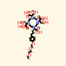 CCOCCOCCOc1ccc(CCC[C@@H](C(=O)O)N2CCN(C(CO)C(=O)O)CCN(C(CO)C(=O)O)CCN([C@@H](CO)C(=O)O)CC2)cc1